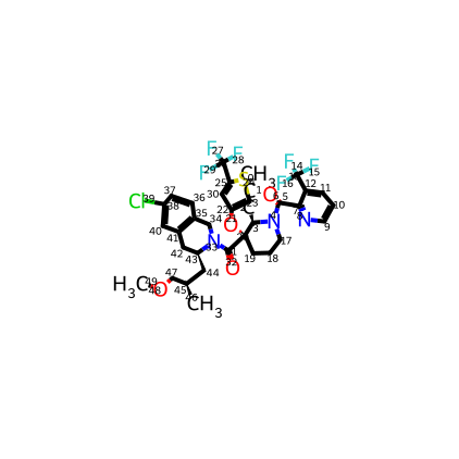 CCC[C@H]1N(C(=O)c2ncccc2C(F)(F)F)CCC[C@@]1(Oc1csc(C(F)(F)F)c1)C(=O)N1Cc2ccc(Cl)cc2C[C@@H]1C[C@@H](C)COC